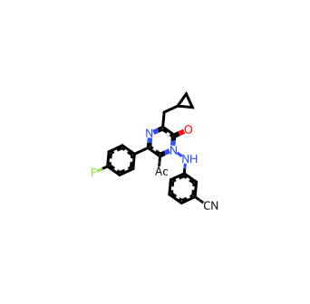 CC(=O)c1c(-c2ccc(F)cc2)nc(CC2CC2)c(=O)n1Nc1cccc(C#N)c1